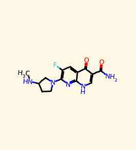 CNC1CCN(c2nc3[nH]cc(C(N)=O)c(=O)c3cc2F)C1